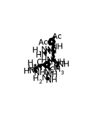 CC(=O)c1cc(NC(CCCC(=NNC(=N)N)Nc2cc(C(C)=NNC(=N)N)cc(C(C)=NNC(=N)N)c2)=NNC(=N)N)cc(C(C)=O)c1